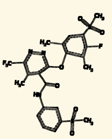 Cc1cc(S(C)(=O)=O)c(F)c(C)c1Oc1nnc(C(F)(F)F)c(C)c1C(=O)Nc1cccc(S(C)(=O)=O)c1